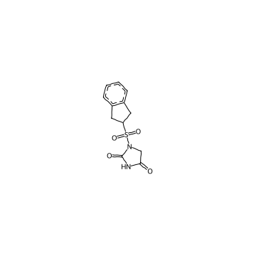 O=C1CN(S(=O)(=O)C2Cc3ccccc3C2)C(=O)N1